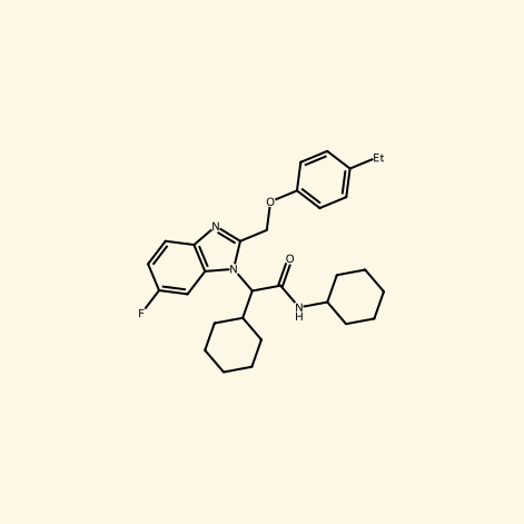 CCc1ccc(OCc2nc3ccc(F)cc3n2C(C(=O)NC2CCCCC2)C2CCCCC2)cc1